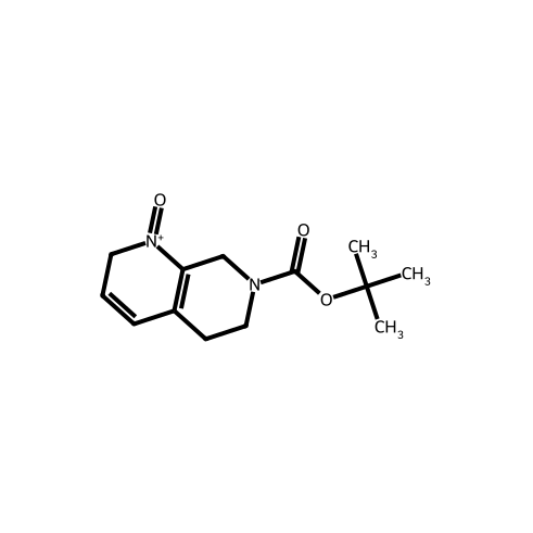 CC(C)(C)OC(=O)N1CCC2=C(C1)[N+](=O)CC=C2